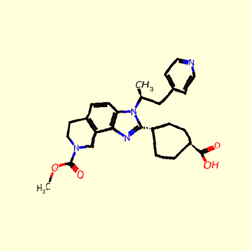 COC(=O)N1CCc2ccc3c(nc([C@H]4CC[C@H](C(=O)O)CC4)n3[C@@H](C)Cc3ccncc3)c2C1